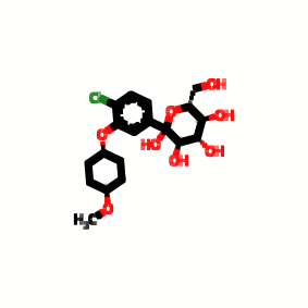 CO[C@H]1CC[C@H](Oc2cc([C@]3(O)O[C@H](CO)[C@@H](O)[C@H](O)[C@H]3O)ccc2Cl)CC1